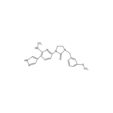 CNc1nc(N2CCN(Cc3cccc(OC)c3)C2=O)ccc1-c1cn[nH]c1